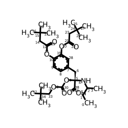 CCC(C)N[C@@](Cc1ccc(OC(=O)CC(C)(C)C)c(OC(=O)CC(C)(C)C)c1)(OC(=O)OCC(C)(C)C)C(=O)O